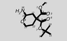 COC(=O)C1(C(=O)OC(C)(C)C)CCOC(N)C1